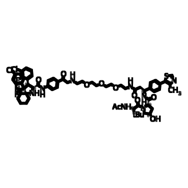 CC(=O)N[C@H](C(=O)N1C[C@H](O)C[C@H]1C(=O)N[C@@H](CC(=O)NCCOCCOCCOCCNCC(=O)c1ccc(NC(=O)[C@@H]2NC3(CCCCC3)[C@@]3(C(=O)Nc4cc(Cl)ccc43)[C@H]2c2cccc(Cl)c2F)cc1)c1ccc(-c2scnc2C)cc1)C(C)(C)C